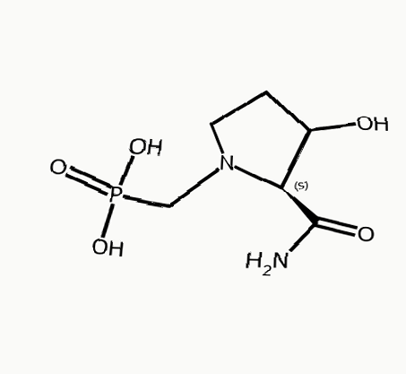 NC(=O)[C@@H]1C(O)CCN1CP(=O)(O)O